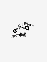 CCCCN(CCCC)c1cccc(COC(=O)OCc2cccc(N(CCCC)CCCC)c2)c1.Cl.Cl.O